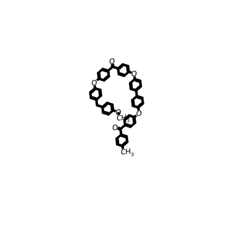 COc1ccc(Cc2ccc(Oc3ccc(C(=O)c4ccc(Oc5ccc(-c6ccc(Oc7ccc(C(=O)c8ccc(C)cc8)cc7)cc6)cc5)cc4)cc3)cc2)cc1